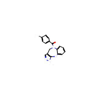 Cn1ncc2c1Nc1ccccc1N(C(=O)c1ccc(C(C)(C)C)cc1)C2